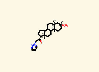 C[C@@]1(O)CC[C@]2(C)C3=CC[C@@]4(C)C(CC[C@@H]4C(=O)Cn4cccn4)C3CC[C@@H]2C1